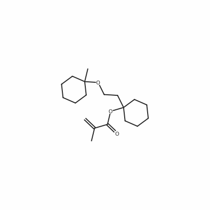 C=C(C)C(=O)OC1(CCOC2(C)CCCCC2)CCCCC1